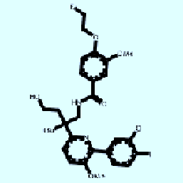 COc1cc(C(=O)NCC(CCO)(c2ccc(OC)c(-c3ccc(F)c(Cl)c3)n2)C(C)(C)C)ccc1OCCF